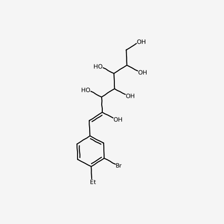 CCc1ccc(C=C(O)C(O)C(O)C(O)C(O)CO)cc1Br